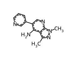 Cc1nn(C)c2ncc(-c3cccnc3)c(N)c12